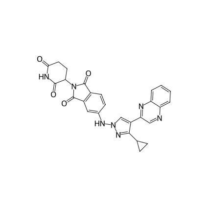 O=C1CCC(N2C(=O)c3ccc(Nn4cc(-c5cnc6ccccc6n5)c(C5CC5)n4)cc3C2=O)C(=O)N1